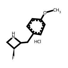 COc1ccc(CC2NC[C@@H]2F)cc1.Cl